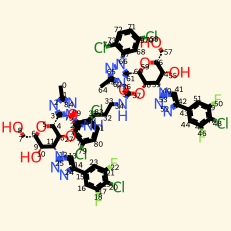 Cc1nc([C@H]2O[C@@H](CO)[C@@H](O)[C@@H](n3cc(-c4cc(F)c(Cl)c(F)c4)nn3)[C@@H]2OC(=O)NCCCNC(=O)O[C@@H]2[C@@H](n3cc(-c4cc(F)c(Cl)c(F)c4)nn3)[C@@H](O)[C@@H](CO)O[C@H]2c2nc(C)nn2-c2cc(Cl)ccc2Cl)n(-c2cc(Cl)ccc2Cl)n1